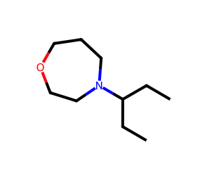 CCC(CC)N1CCCOCC1